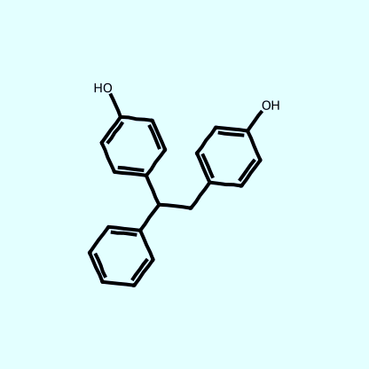 Oc1ccc(CC(c2ccccc2)c2ccc(O)cc2)cc1